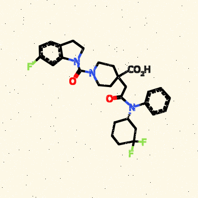 O=C(N1CCC(CC(=O)N(c2ccccc2)[C@H]2CCCC(F)(F)C2)(C(=O)O)CC1)N1CCc2ccc(F)cc21